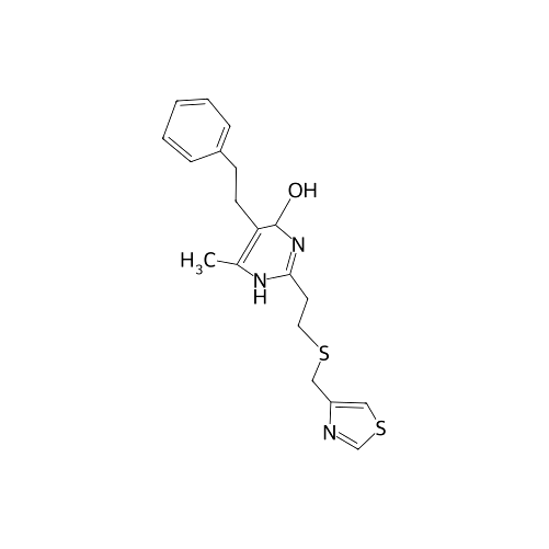 CC1=C(CCc2ccccc2)C(O)N=C(CCSCc2cscn2)N1